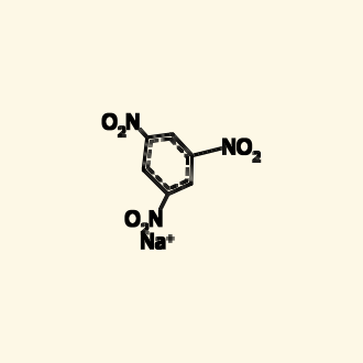 O=[N+]([O-])c1cc([N+](=O)[O-])cc([N+](=O)[O-])c1.[Na+]